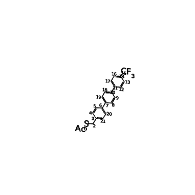 CC(=O)SCc1ccc(-c2ccc(-c3ccc(C(F)(F)F)cc3)cc2)cc1